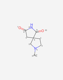 CC(=O)N1CCC2(CC(=O)NC2=O)C1